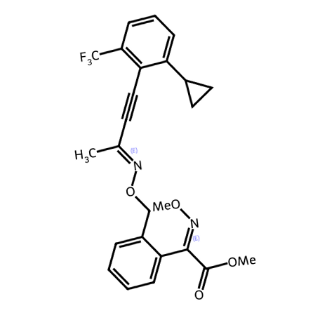 CO/N=C(/C(=O)OC)c1ccccc1CO/N=C(\C)C#Cc1c(C2CC2)cccc1C(F)(F)F